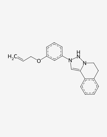 C=CCOc1cccc(N2C=C3c4ccccc4CCN3N2)c1